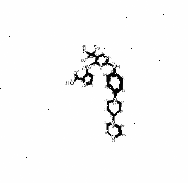 O=C(O)c1sccc1Nc1nc(Nc2ccc(N3CCC(N4CCOCC4)CC3)cc2)ncc1C(F)(F)F